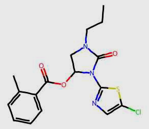 CCCN1CC(OC(=O)c2ccccc2C)N(c2ncc(Cl)s2)C1=O